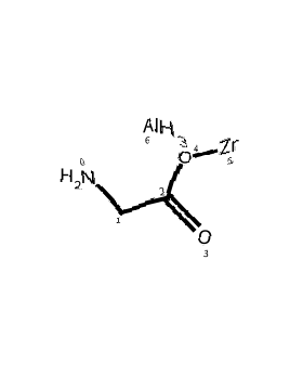 NCC(=O)[O][Zr].[AlH3]